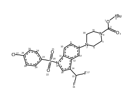 CC(C)(C)OC(=O)N1CCN(c2ccc3c(c2)c(C(F)F)cn3S(=O)(=O)c2ccc(Cl)cc2)CC1